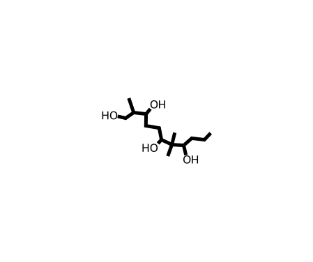 CCCC(O)C(C)(C)C(O)CCC(O)C(C)CO